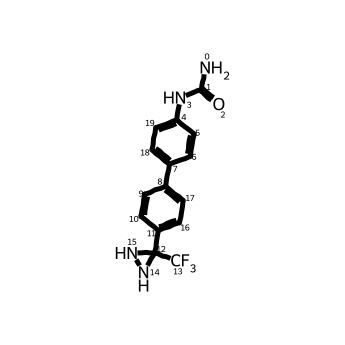 NC(=O)Nc1ccc(-c2ccc(C3(C(F)(F)F)NN3)cc2)cc1